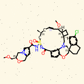 COC[C@H]1Cn2cc(C(=O)NS3(=O)=NC(=O)c4ccc5c(c4)N(C[C@@H]4CC[C@H]4[C@@H](OC)/C=C/C[C@H](C)C3)C[C@@]3(CCCc4cc(Cl)ccc43)CO5)cc2CO1